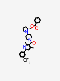 Cc1cc(-c2cccc(C(F)(F)F)c2)nc(C)c1C(=O)N1CCC(N2CCC[C@H]2COC(=O)c2ccccc2)CC1